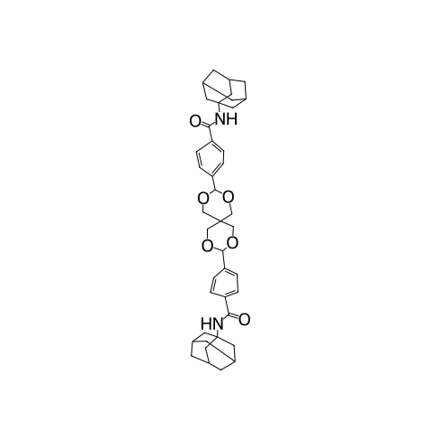 O=C(NC12CC3CC(CC(C3)C1)C2)c1ccc(C2OCC3(CO2)COC(c2ccc(C(=O)NC45CC6CC(CC(C6)C4)C5)cc2)OC3)cc1